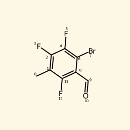 Cc1c(F)c(F)c(Br)c(C=O)c1F